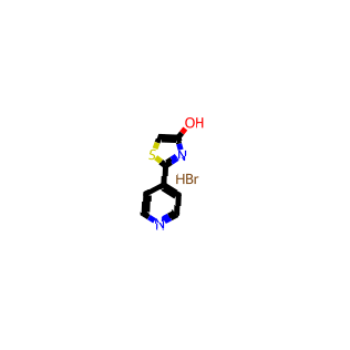 Br.Oc1csc(-c2ccncc2)n1